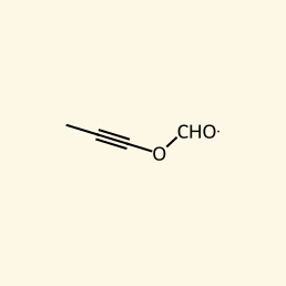 CC#CO[C]=O